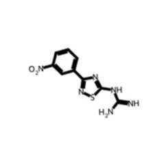 N=C(N)Nc1nc(-c2cccc([N+](=O)[O-])c2)ns1